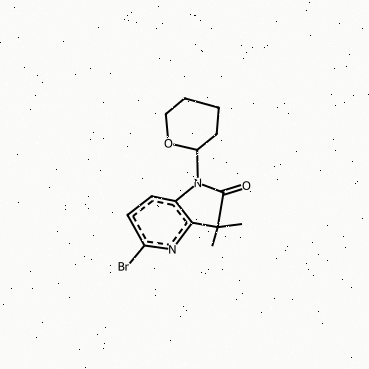 CC1(C)C(=O)N(C2CCCCO2)c2ccc(Br)nc21